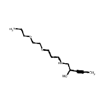 CC#CC(O)CNCCCOCCOCCN